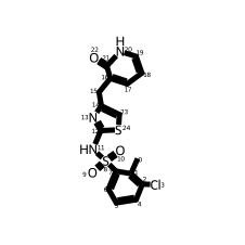 Cc1c(Cl)cccc1S(=O)(=O)Nc1nc(Cc2ccc[nH]c2=O)cs1